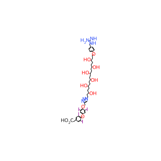 N=C(N)NCc1ccc(OCCC(O)CCC(O)CCC(O)CCC(O)CCC(O)CCC(O)CCn2cc(COc3c(I)cc(Oc4c(I)cc(CC(=O)O)cc4I)cc3I)nn2)cc1